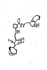 O=C(NCC1CNC2CCCCN12)c1cccc(NCC2NNC(C3C=CNCC3)N2)c1